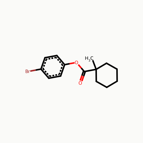 CC1(C(=O)Oc2ccc(Br)cc2)CCCCC1